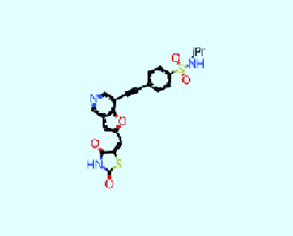 CC(C)NS(=O)(=O)c1ccc(C#Cc2cncc3cc(C=C4SC(=O)NC4=O)oc23)cc1